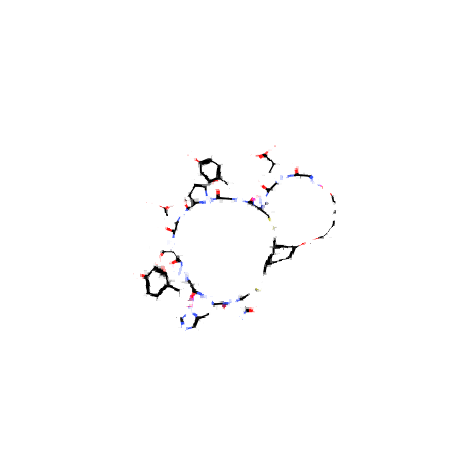 C[C@@H](O)[C@@H]1NC(=O)[C@H](CC(=O)O)NC(=O)[C@@H]2CCCN2C(=O)[C@H](Cc2ccc(O)cc2)NC(=O)[C@@H]2CSCc3cc(cc(c3)OCCCCCCO/N=C/C(=O)N[C@@H](CCC(=O)O)C(=O)N2)CSC[C@@H](C(N)=O)NC(=O)[C@H](Cc2cnc[nH]2)NC(=O)[C@H](Cc2ccc(O)cc2)NC1=O